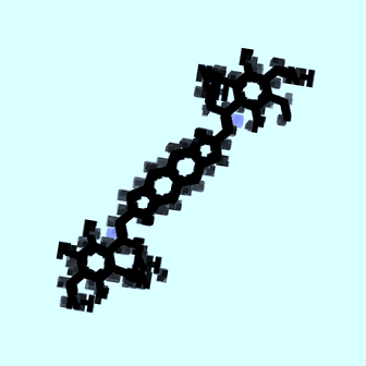 CCc1c(F)c(/C(C=N)=C/c2cc3cc4cc5sc(/C=C(\SN)c6c(F)c(F)c(C=N)c(F)c6C#N)cc5cc4cc3s2)c(C#N)c(F)c1C=N